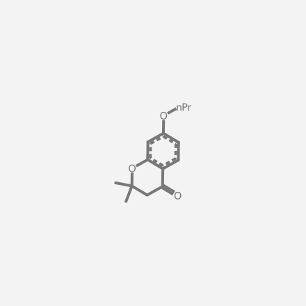 CCCOc1ccc2c(c1)OC(C)(C)CC2=O